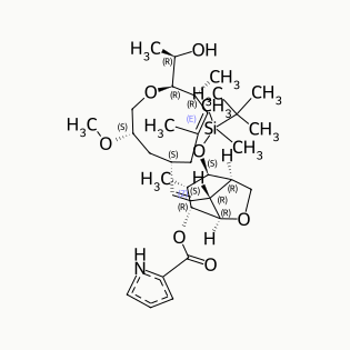 CO[C@@H]1CO[C@@H]([C@@H](C)O)[C@H](C)/C=C(\C)C[C@H](/C=C\[C@@H]2[C@@H]3CO[C@H]2[C@H](OC(=O)c2ccc[nH]2)[C@H](C)[C@H]3O[Si](C)(C)C(C)(C)C)C1